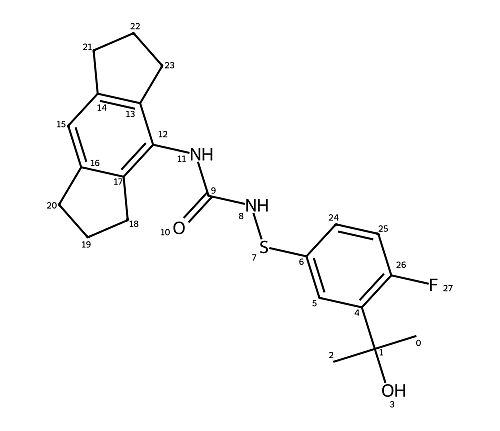 CC(C)(O)c1cc(SNC(=O)Nc2c3c(cc4c2CCC4)CCC3)ccc1F